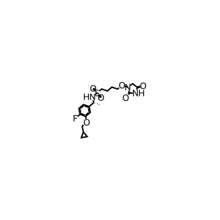 C[C@@H](NS(=O)(=O)CCCCON1CC(=O)NC1=O)c1ccc(F)c(OCC2CC2)c1